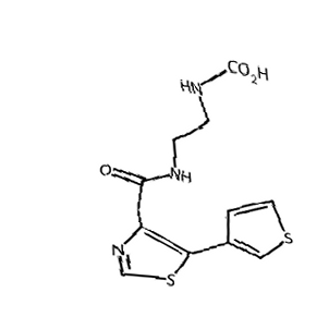 O=C(O)NCCNC(=O)c1ncsc1-c1ccsc1